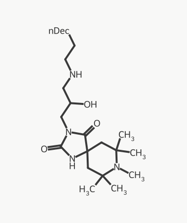 CCCCCCCCCCCCNCC(O)CN1C(=O)NC2(CC(C)(C)N(C)C(C)(C)C2)C1=O